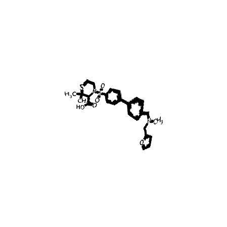 CN(Cc1ccc(-c2ccc(S(=O)(=O)N3CCSC(C)(C)C3C(=O)O)cc2)cc1)Cc1ccco1